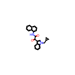 O=C(Nc1cccc2ccccc12)C(=O)c1cn(CC2CC2)c2ccccc12